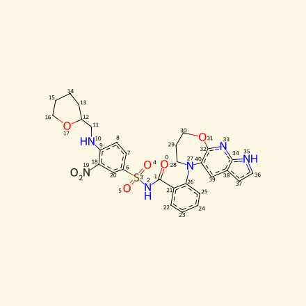 O=C(NS(=O)(=O)c1ccc(NCC2CCCCO2)c([N+](=O)[O-])c1)c1ccccc1N1CCCOc2nc3[nH]ccc3cc21